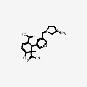 CC1(C(=O)O)C(Cl)=CC=C(C(=O)O)C1c1cncc(CN2CC[C@@H](N)C2)c1